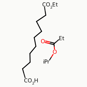 CCC(=O)OC(C)C.CCOC(=O)CCCCCCCCC(=O)O